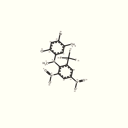 Cc1cc(N(C)c2c([N+](=O)[O-])cc([N+](=O)[O-])cc2C(F)(F)F)c(Cl)cc1Br